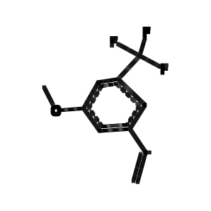 C=[C]c1cc(OC)cc(C(F)(F)F)c1